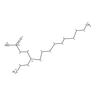 CCCCCCCCCCC(CCC)CCC(=O)O